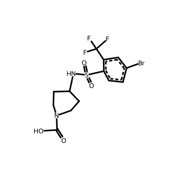 O=C(O)N1CCC(NS(=O)(=O)c2ccc(Br)cc2C(F)(F)F)CC1